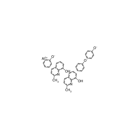 Cc1ccc2cccc(O)c2n1.Cc1ccc2cccc(O)c2n1.[Al+3].[O-]c1ccccc1.[O-]c1ccccc1.[O-]c1ccccc1